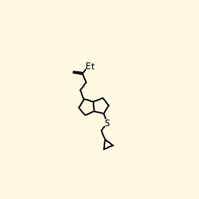 C=C(CC)CCC1CCC2C(SCC3CC3)CCC12